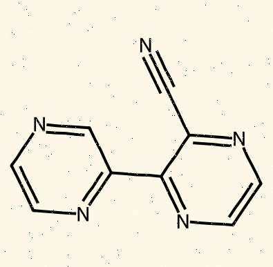 N#Cc1nccnc1-c1cnccn1